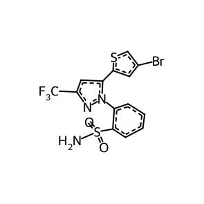 NS(=O)(=O)c1ccccc1-n1nc(C(F)(F)F)cc1-c1cc(Br)cs1